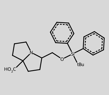 CC(C)(C)[Si](OCC1CCC2(C(=O)O)CCCN12)(c1ccccc1)c1ccccc1